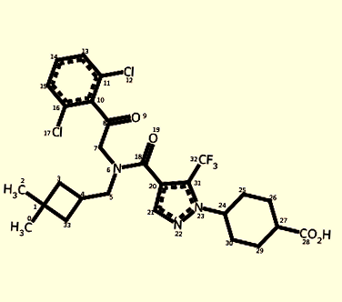 CC1(C)CC(CN(CC(=O)c2c(Cl)cccc2Cl)C(=O)c2cnn(C3CCC(C(=O)O)CC3)c2C(F)(F)F)C1